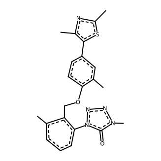 Cc1nc(C)c(-c2ccc(OCc3c(C)cccc3-n3nnn(C)c3=O)c(C)c2)s1